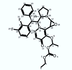 CCOC(=O)OC(C)Oc1c2n(ncc1=O)[C@@H]([C@H](c1ccccc1)c1cccc(F)c1F)[C@H]1CCCN1C1OC21